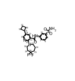 NS(=O)(=O)c1cccc(NC(=O)c2cc(C3CCC3)cnc2N2CCCC(F)(F)CC2)c1